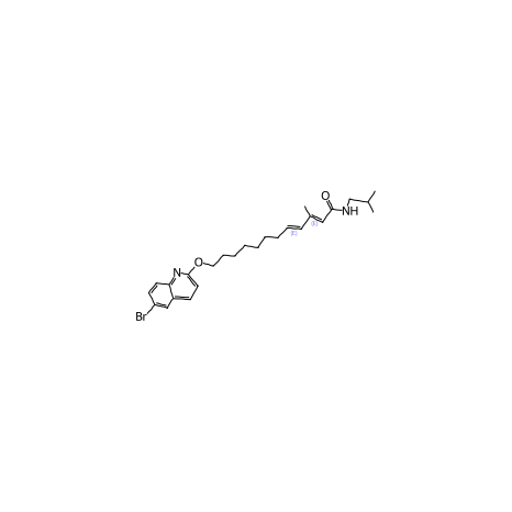 CC(/C=C/CCCCCCCOc1ccc2cc(Br)ccc2n1)=C\C(=O)NCC(C)C